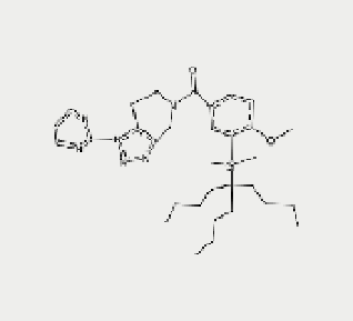 CCCCC(CCCC)(CCCC)[Si](C)(C)c1cc(C(=O)N2CCc3c(nnn3-c3ncccn3)C2)ccc1OC